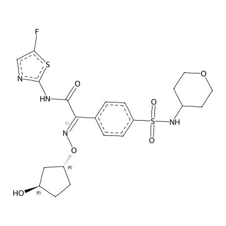 O=C(Nc1ncc(F)s1)/C(=N/O[C@@H]1CC[C@@H](O)C1)c1ccc(S(=O)(=O)NC2CCOCC2)cc1